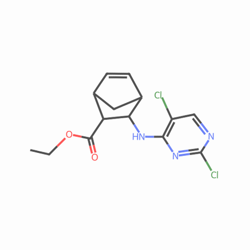 CCOC(=O)C1C2C=CC(C2)C1Nc1nc(Cl)ncc1Cl